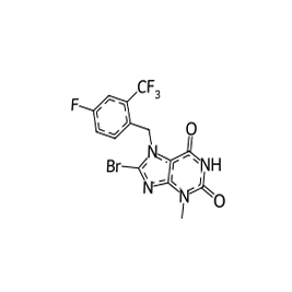 Cn1c(=O)[nH]c(=O)c2c1nc(Br)n2Cc1ccc(F)cc1C(F)(F)F